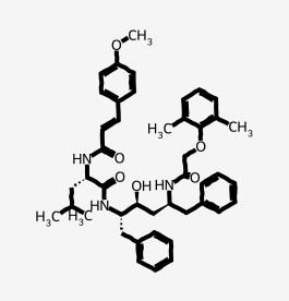 COc1ccc(/C=C/C(=O)N[C@@H](CC(C)C)C(=O)N[C@@H](Cc2ccccc2)[C@@H](O)C[C@H](Cc2ccccc2)NC(=O)COc2c(C)cccc2C)cc1